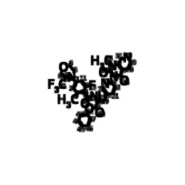 Cc1cc(N2CCOC[C@@H]2C(F)(F)F)cc(F)c1C(=O)N[C@@H](Cc1ccc(-n2c(=O)c3ccncc3n(C)c2=O)nc1)C(=O)Oc1ccccc1